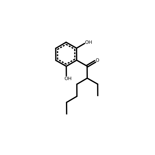 CCCCC(CC)C(=O)c1c(O)cccc1O